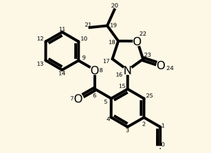 [CH]=Cc1ccc(C(=O)Oc2ccccc2)c(N2CC(C(C)C)OC2=O)c1